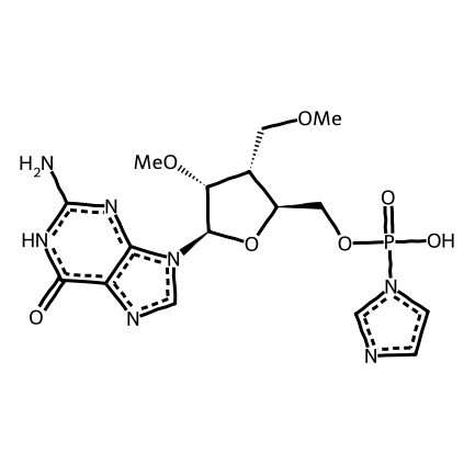 COC[C@H]1[C@@H](OC)[C@H](n2cnc3c(=O)[nH]c(N)nc32)O[C@@H]1COP(=O)(O)n1ccnc1